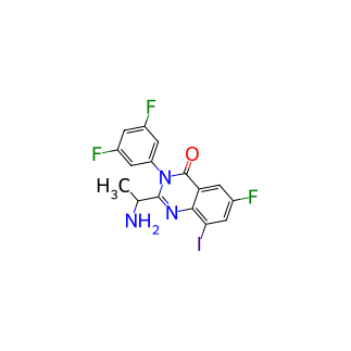 CC(N)c1nc2c(I)cc(F)cc2c(=O)n1-c1cc(F)cc(F)c1